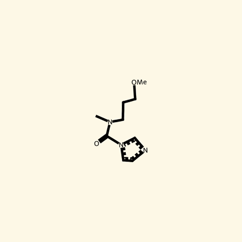 COCCCN(C)C(=O)n1ccnc1